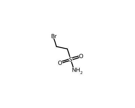 NS(=O)(=O)CCBr